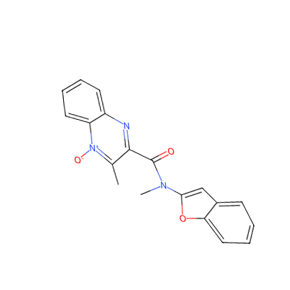 Cc1c(C(=O)N(C)c2cc3ccccc3o2)nc2ccccc2[n+]1[O-]